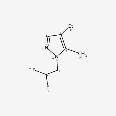 CCc1[c]nn(CC(F)F)c1C